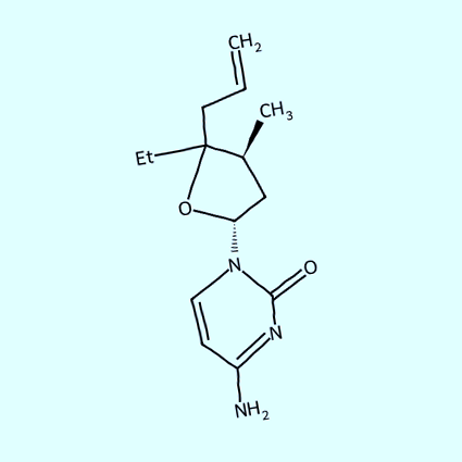 C=CCC1(CC)O[C@@H](n2ccc(N)nc2=O)C[C@@H]1C